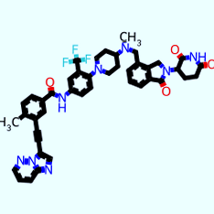 Cc1ccc(C(=O)Nc2ccc(N3CCC(N(C)Cc4cccc5c4CN(C4CCC(=O)NC4=O)C5=O)CC3)c(C(F)(F)F)c2)cc1C#Cc1cnc2cccnn12